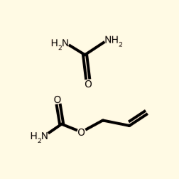 C=CCOC(N)=O.NC(N)=O